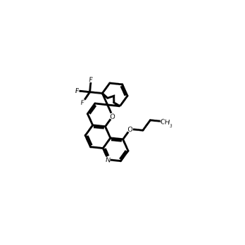 CCCOc1ccnc2ccc3c(c12)OC1(C=C3)C2C=CCC1(C(F)(F)F)CCC2